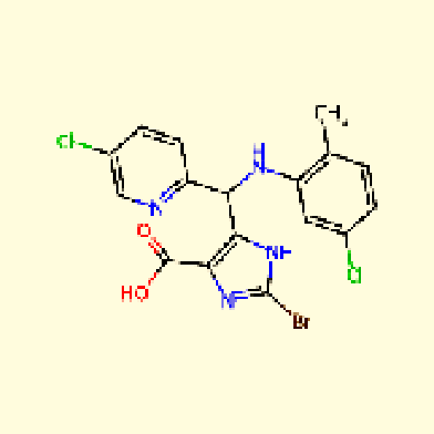 Cc1ccc(Cl)cc1NC(c1ccc(Cl)cn1)c1[nH]c(Br)nc1C(=O)O